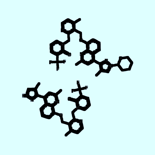 Cc1cc(-c2n[nH]cc2C)c2cccc(OCc3c(C)ccnc3Cn3cccc(C(F)(F)F)c3=O)c2n1.Cc1cc(-c2nn(C3CCCCO3)cc2C)c2cccc(OCc3c(C)ccnc3Cn3cccc(C(F)(F)F)c3=O)c2n1